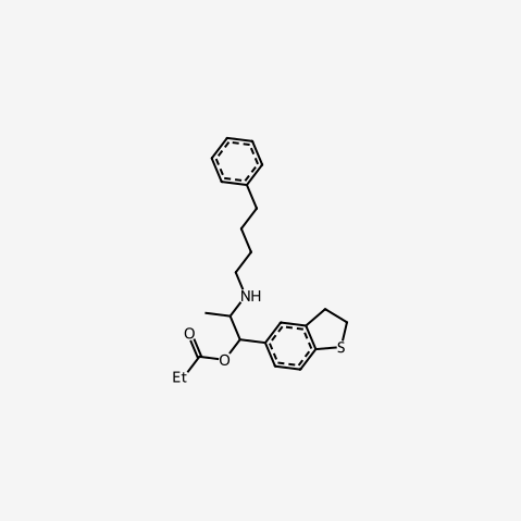 CCC(=O)OC(c1ccc2c(c1)CCS2)C(C)NCCCCc1ccccc1